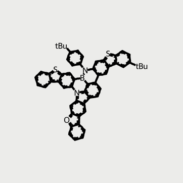 CC(C)(C)c1ccc(N2B3c4cc5sc6ccccc6c5cc4-n4c5cc6oc7ccccc7c6cc5c5ccc(c3c54)-c3cc4c(cc32)sc2ccc(C(C)(C)C)cc24)cc1